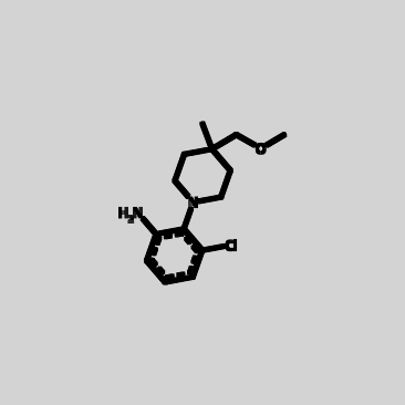 COCC1(C)CCN(c2c(N)cccc2Cl)CC1